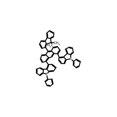 CC1(C)c2ccccc2-c2cccc(-c3c4cccc(-c5cccc6c5c5ccccc5p6-c5ccccc5)c4cc4c(-c5cccc6c5c5ccccc5p6-c5ccccc5)cccc34)c21